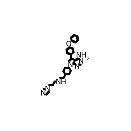 Nc1ncnc2c1c(-c1ccc(Oc3ccccc3)cc1)cn2C1CCC(CCNCCCn2ccnc2)CC1